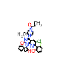 C=CC(=O)N1CCN(c2nc(=O)n(C3CCC34CCCC4)c3nc(-c4c(O)cccc4F)c(Cl)cc23)[C@@H](C)C1